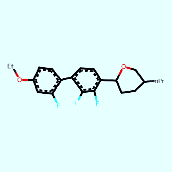 CCCC1CCC(c2ccc(-c3ccc(OCC)cc3F)c(F)c2F)OC1